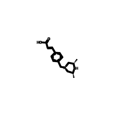 C[C@@H]1CN(Cc2ccc(/C=C/C(=O)O)cc2)C[C@H](C)N1